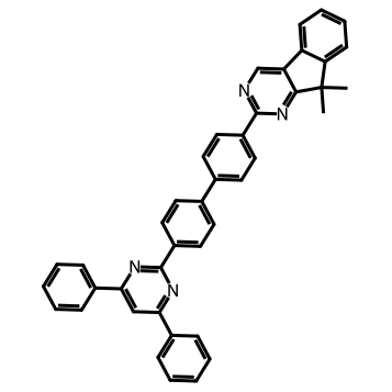 CC1(C)c2ccccc2-c2cnc(-c3ccc(-c4ccc(-c5nc(-c6ccccc6)cc(-c6ccccc6)n5)cc4)cc3)nc21